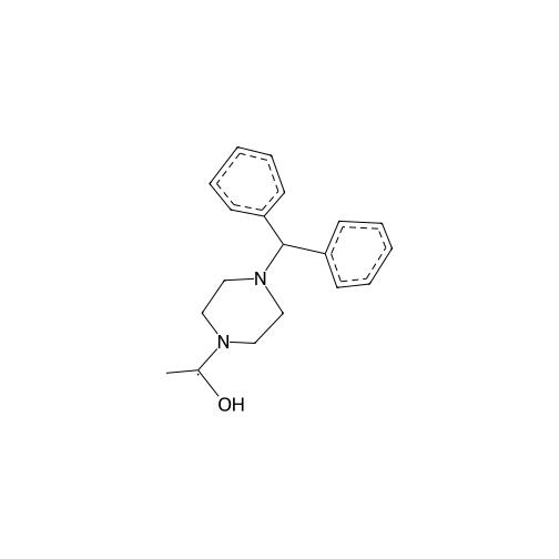 C[C](O)N1CCN(C(c2ccccc2)c2ccccc2)CC1